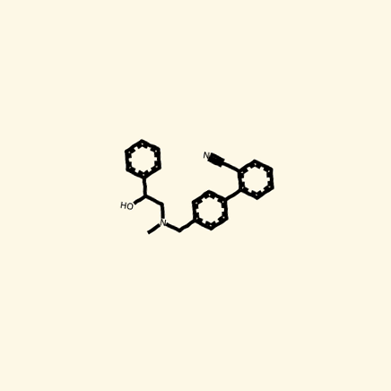 CN(Cc1ccc(-c2ccccc2C#N)cc1)CC(O)c1ccccc1